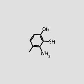 Cc1ccc(O)c(S)c1N